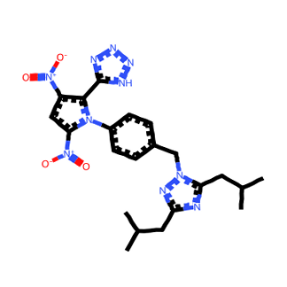 CC(C)Cc1nc(CC(C)C)n(Cc2ccc(-n3c([N+](=O)[O-])cc([N+](=O)[O-])c3-c3nnn[nH]3)cc2)n1